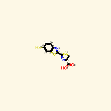 O=C(O)[C@H]1CSC(c2nc3ccc(S)cc3s2)=N1